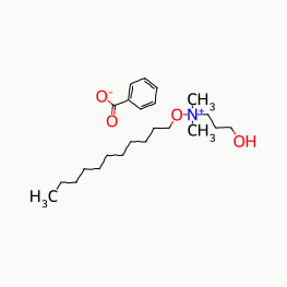 CCCCCCCCCCCO[N+](C)(C)CCCO.O=C([O-])c1ccccc1